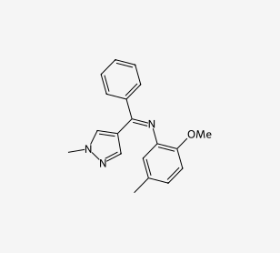 COc1ccc(C)cc1N=C(c1ccccc1)c1cnn(C)c1